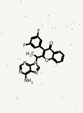 CC(c1oc2ccccc2c(=O)c1-c1cc(F)cc(F)c1)n1cnc2c(N)ncnc21